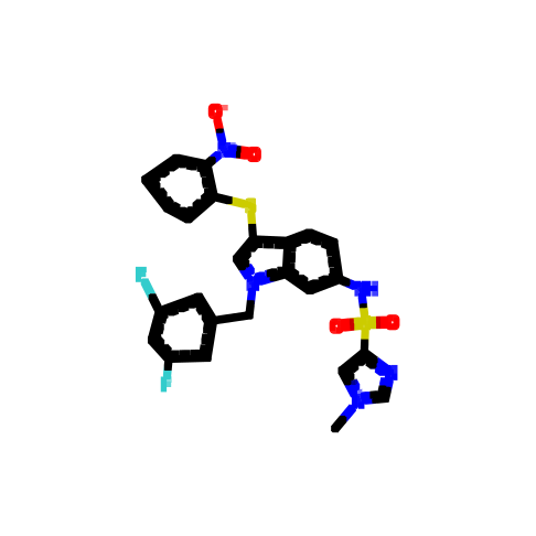 Cn1cnc(S(=O)(=O)Nc2ccc3c(Sc4ccccc4[N+](=O)[O-])cn(Cc4cc(F)cc(F)c4)c3c2)c1